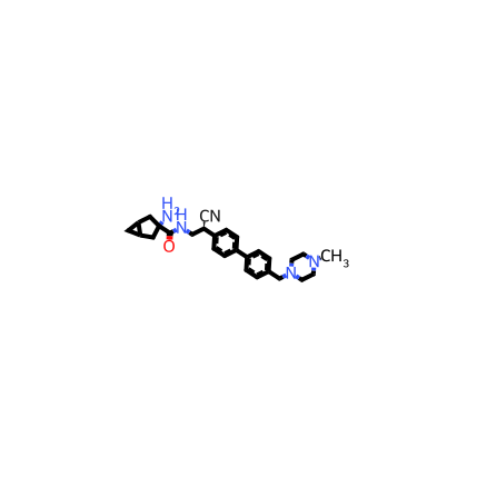 CN1CCN(Cc2ccc(-c3ccc([C@@H](C#N)CNC(=O)C4(N)CC5CC5C4)cc3)cc2)CC1